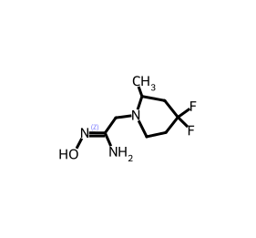 CC1CC(F)(F)CCN1C/C(N)=N/O